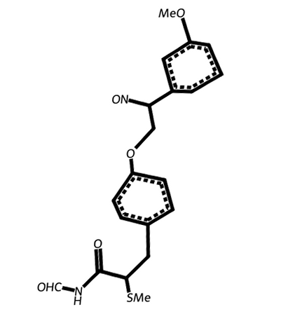 COc1cccc(C(COc2ccc(CC(SC)C(=O)NC=O)cc2)N=O)c1